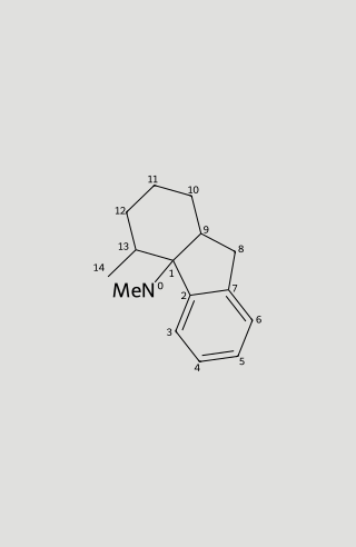 CNC12c3ccccc3CC1CCCC2C